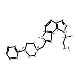 C[C@@H](CN)n1ncc2ccc3oc(CN4CCN(c5ccccn5)CC4)cc3c21